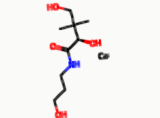 CC(C)(CO)[C@@H](O)C(=O)NCCCO.[Ca]